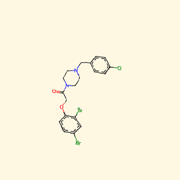 O=C(COc1ccc(Br)cc1Br)N1CCN(Cc2ccc(Cl)cc2)CC1